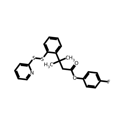 CC(C)(CC(=O)Oc1ccc(F)cc1)c1ccccc1SSc1ccccn1